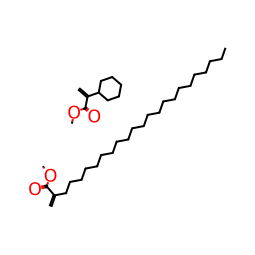 C=C(C(=O)OC)C1CCCCC1.C=C(CCCCCCCCCCCCCCCCCCCCCC)C(=O)OC